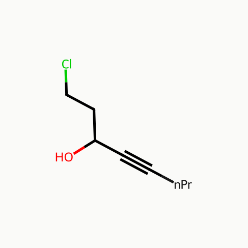 CCCC#CC(O)CCCl